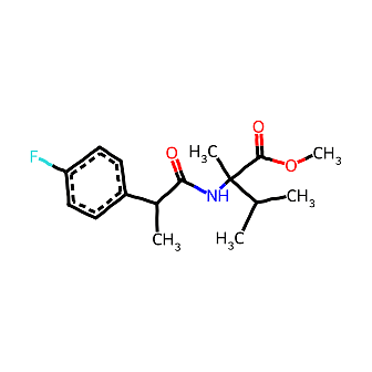 COC(=O)C(C)(NC(=O)C(C)c1ccc(F)cc1)C(C)C